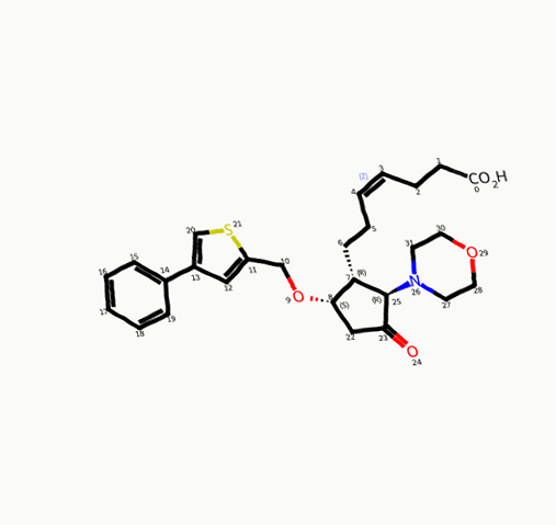 O=C(O)CC/C=C\CC[C@H]1[C@@H](OCc2cc(-c3ccccc3)cs2)CC(=O)[C@@H]1N1CCOCC1